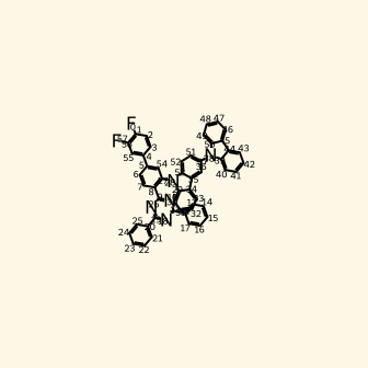 Fc1ccc(-c2ccc(-c3nc(-c4ccccc4)nc(-c4ccccc4)n3)c(-n3c4ccccc4c4cc(-n5c6ccccc6c6ccccc65)ccc43)c2)cc1F